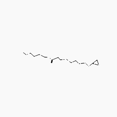 CCCCCCOC(=O)CCCCCCCCC1CC1